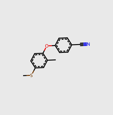 CSc1ccc(Oc2ccc(C#N)cc2)c(C)c1